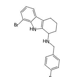 Fc1ccc(CNC2CCCc3c2[nH]c2c(Br)cccc32)cc1